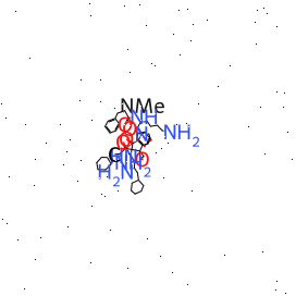 CN[C@@H](Cc1ccccc1)C(=O)N[C@@H](CCCCN)C(=O)N1CCC[C@H]1C(=O)C(NC(=O)[C@@H](N)CC1CCCCC1)(C(=O)[C@H](N)CC1CCCCC1)C1(c2ccccc2)CC1